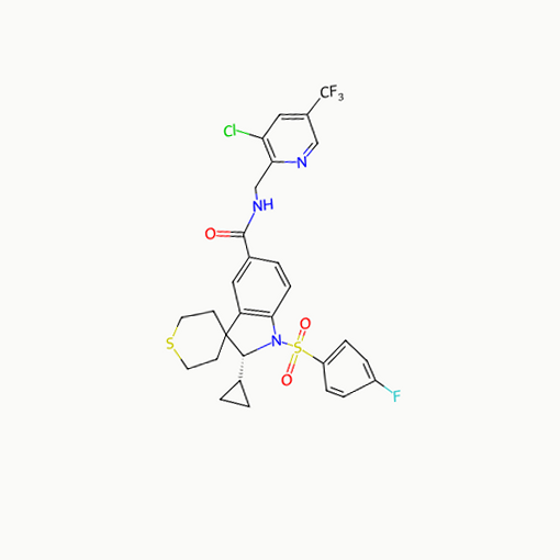 O=C(NCc1ncc(C(F)(F)F)cc1Cl)c1ccc2c(c1)C1(CCSCC1)[C@@H](C1CC1)N2S(=O)(=O)c1ccc(F)cc1